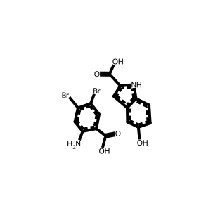 Nc1cc(Br)c(Br)cc1C(=O)O.O=C(O)c1cc2cc(O)ccc2[nH]1